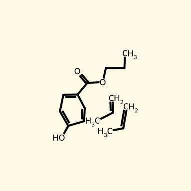 C=CC.C=CC.CCCOC(=O)c1ccc(O)cc1